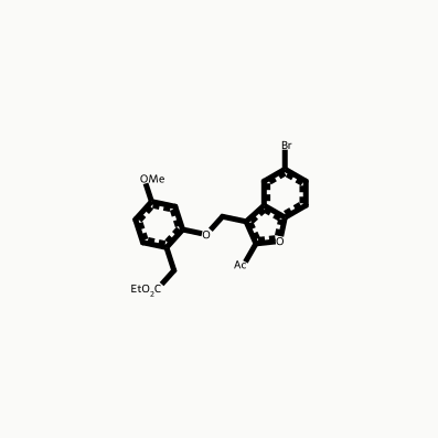 CCOC(=O)Cc1ccc(OC)cc1OCc1c(C(C)=O)oc2ccc(Br)cc12